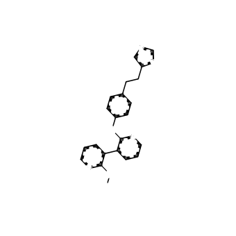 COc1ncccc1-c1cccnc1Oc1ccc(CCc2cncs2)cc1